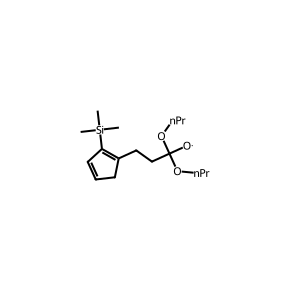 CCCOC([O])(CCC1=C([Si](C)(C)C)C=CC1)OCCC